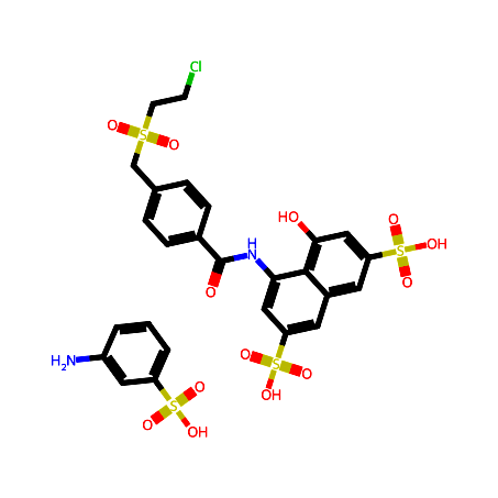 Nc1cccc(S(=O)(=O)O)c1.O=C(Nc1cc(S(=O)(=O)O)cc2cc(S(=O)(=O)O)cc(O)c12)c1ccc(CS(=O)(=O)CCCl)cc1